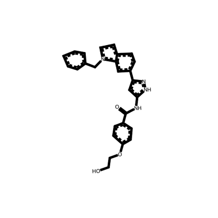 O=C(Nc1cc(-c2ccc3ccn(Cc4ccccc4)c3c2)n[nH]1)c1ccc(OCCO)cc1